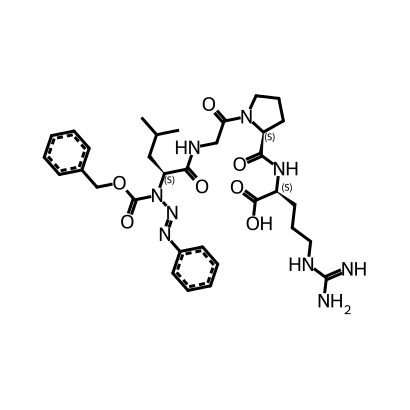 CC(C)C[C@@H](C(=O)NCC(=O)N1CCC[C@H]1C(=O)N[C@@H](CCCNC(=N)N)C(=O)O)N(N=Nc1ccccc1)C(=O)OCc1ccccc1